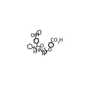 O=C(O)c1ccc(Oc2cnc(NC(=O)C(NC3CCCCC3)c3ccc([S+]([O-])N4CCCC4)cc3)s2)cc1